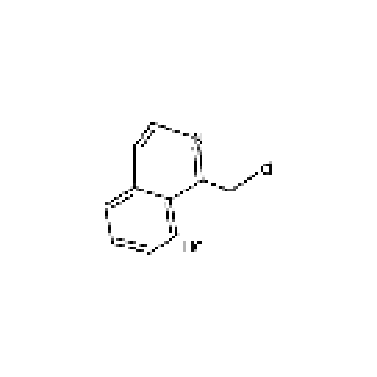 Cl.ClCc1nccc2ccccc12